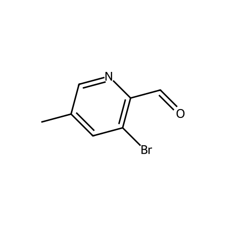 Cc1cnc(C=O)c(Br)c1